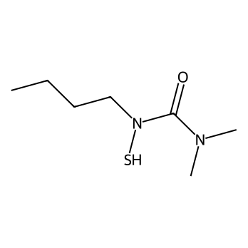 CCCCN(S)C(=O)N(C)C